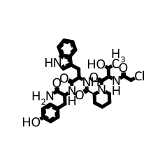 CC(O)C(NC(=O)CCl)C(=O)N1CCCC[C@H]1C(=O)NC(Cc1c[nH]c2ccccc12)C(=O)NC(Cc1ccc(O)cc1)C(N)=O